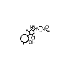 C=CC(=O)N1CCN(c2snc3c(F)c(-c4cccccc(C)cc(O)c4)c(Cl)cc23)CC1